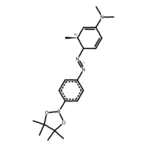 C[C@H]1C=C(N(C)C)C=CC1/N=N/c1ccc(B2OC(C)(C)C(C)(C)O2)cc1